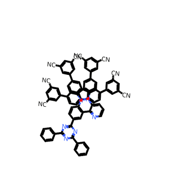 N#Cc1cc(C#N)cc(-c2ccc3c(c2)c2cc(-c4cc(C#N)cc(C#N)c4)ccc2n3-c2ccc(-c3nc(-c4ccccc4)nc(-c4ccccc4)n3)cc2-c2ncccc2-n2c3ccc(-c4cc(C#N)cc(C#N)c4)cc3c3cc(-c4cc(C#N)cc(C#N)c4)ccc32)c1